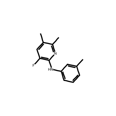 Cc1cccc(Nc2nc(C)c(C)cc2F)c1